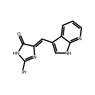 CC(C)C1=N/C(=C\c2c[nH]c3ncccc23)C(=O)N1